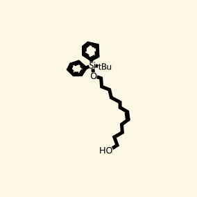 CC(C)(C)[Si](OCCCCCC/C=C\CCCCO)(c1ccccc1)c1ccccc1